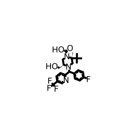 CC(C)(C)[C@@]1(C)CN(C(c2ccc(F)cc2)c2ccc(C(F)(F)F)cn2)[C@H](CO)CN1C(=O)O